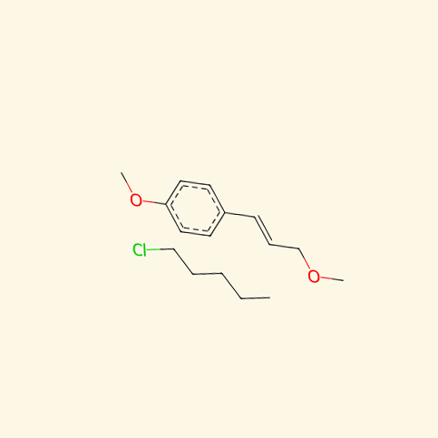 CCCCCCl.COCC=Cc1ccc(OC)cc1